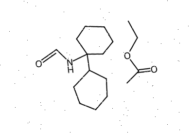 CCOC(C)=O.O=CNC1(C2CCCCC2)CCCCC1